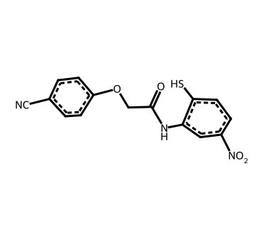 N#Cc1ccc(OCC(=O)Nc2cc([N+](=O)[O-])ccc2S)cc1